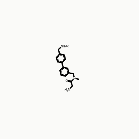 CC(=O)NCc1ccc(-c2cccc(CN(C)C(=O)CN)c2)cc1